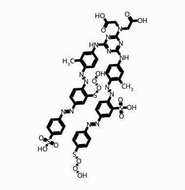 Cc1cc(Nc2nc(Nc3ccc(N=Nc4ccc(N=Nc5ccc(SOOO)cc5)cc4S(=O)(=O)O)c(C)c3)nc(N(CC(=O)O)CC(=O)O)n2)ccc1N=Nc1ccc(N=Nc2ccc(S(=O)(=O)O)cc2)cc1SOOO